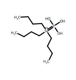 CCCC[SeH](CCCC)(CCCC)=P(O)(O)O